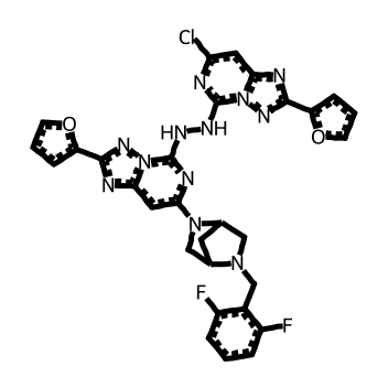 Fc1cccc(F)c1CN1CC2CC1CN2c1cc2nc(-c3ccco3)nn2c(NNc2nc(Cl)cc3nc(-c4ccco4)nn23)n1